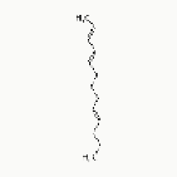 C/C=C/C=C/CCC/C=C/CCC